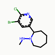 CNN1CCCCCC1c1cnc(Cl)c(Br)c1